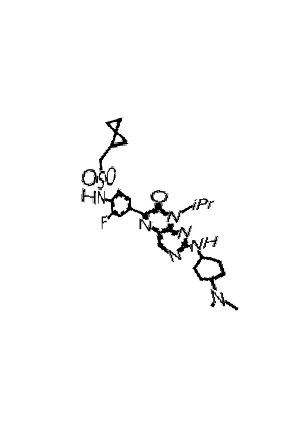 CC(C)n1c(=O)c(-c2ccc(NS(=O)(=O)CC3CC34CC4)c(F)c2)nc2cnc(NC3CCC(N(C)C)CC3)nc21